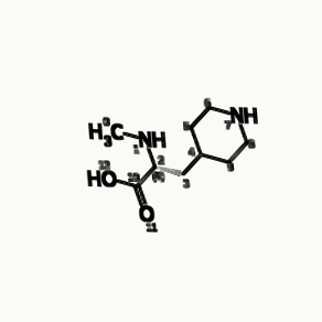 CN[C@H](CC1CCNCC1)C(=O)O